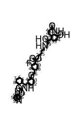 O=C(NC(c1ccccc1)c1cccc(OCc2ccc(C(=O)OCCCCNC[C@@H](O)c3ccc(O)c4[nH]c(=O)ccc34)c(F)c2)c1)O[C@H]1CN2CCC1CC2